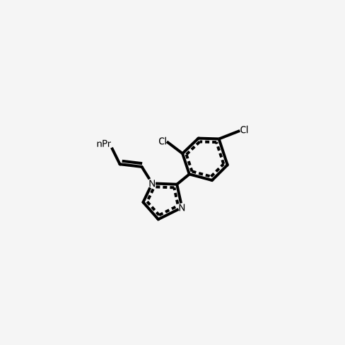 CCCC=Cn1ccnc1-c1ccc(Cl)cc1Cl